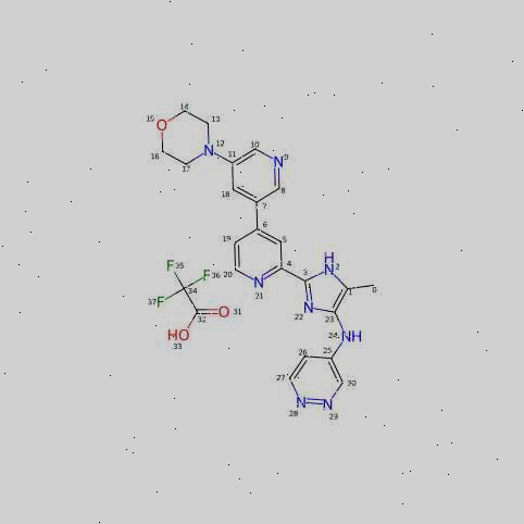 Cc1[nH]c(-c2cc(-c3cncc(N4CCOCC4)c3)ccn2)nc1Nc1ccnnc1.O=C(O)C(F)(F)F